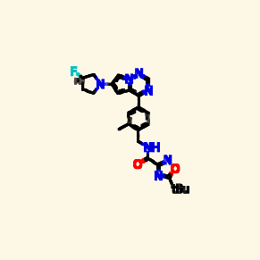 Cc1cc(-c2ncnn3cc(N4CC[C@@H](F)C4)cc23)ccc1CNC(=O)c1noc(C(C)(C)C)n1